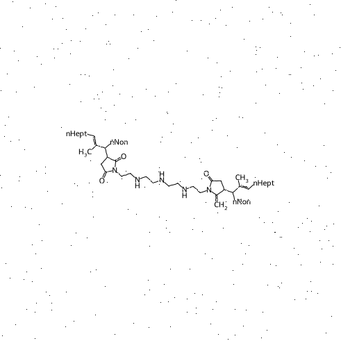 C=C1C(C(CCCCCCCCC)/C(C)=C/CCCCCCC)CC(=O)N1CCNCCNCCNCCN1C(=O)CC(C(CCCCCCCCC)/C(C)=C/CCCCCCC)C1=O